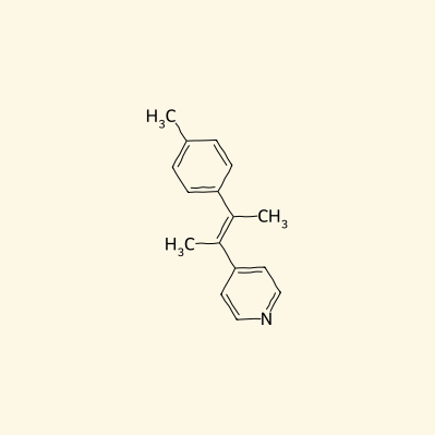 C/C(=C(/C)c1ccc(C)cc1)c1ccncc1